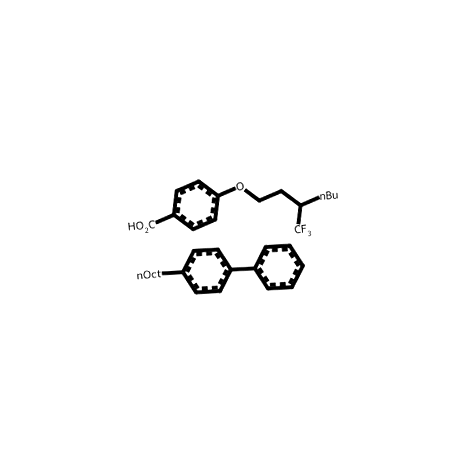 CCCCC(CCOc1ccc(C(=O)O)cc1)C(F)(F)F.CCCCCCCCc1ccc(-c2ccccc2)cc1